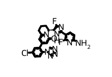 Nc1ccc(-c2nc(F)c([C@@H]3CCCc4cc(-c5cc(Cl)ccc5-n5cnnn5)cc(=O)n43)[nH]2)c(F)n1